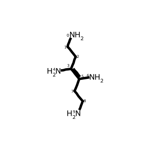 NCCC(N)=C(N)CCN